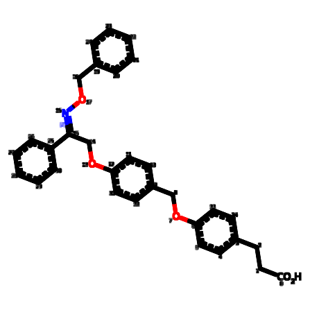 O=C(O)CCc1ccc(OCc2ccc(OC/C(=N\OCc3ccccc3)c3ccccc3)cc2)cc1